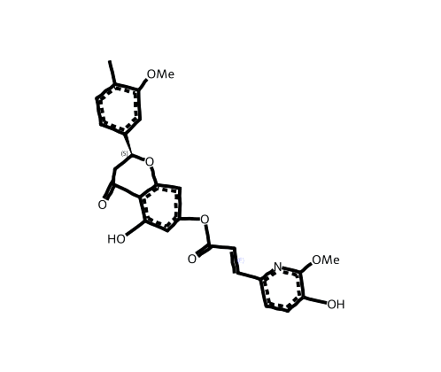 COc1cc([C@@H]2CC(=O)c3c(O)cc(OC(=O)/C=C/c4ccc(O)c(OC)n4)cc3O2)ccc1C